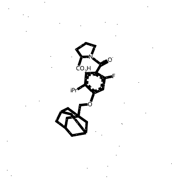 CC(C)c1cc(C(=O)N2CCCC2C(=O)O)c(F)cc1OCC12CC3CC(CC(C3)C1)C2